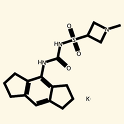 CN1CC(S(=O)(=O)NC(=O)Nc2c3c(cc4c2CCC4)CCC3)C1.[K]